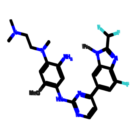 COc1cc(N(C)CCN(C)C)c(N)cc1Nc1nccc(-c2cc(F)c3nc(C(F)F)n(C(C)C)c3c2)n1